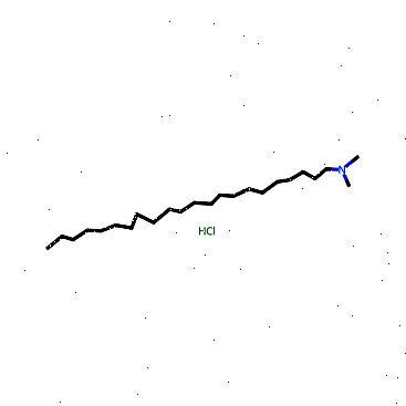 CCCCCCCCCCCCCCCCCCCCCCN(C)C.Cl